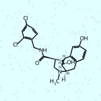 CN1CC[C@]23C[C@H](C(=O)NCc4ccc(Cl)cc4Cl)C[C@@]2(O)[C@H]1Cc1ccc(O)cc13